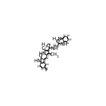 Cc1[nH]c(/C=C2\C(=O)Nc3ccc(F)cc32)c(C)c1C(=O)NCCC(=O)Nc1ccccc1N